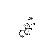 O=c1ncccn1[C@@H]1OC(CO)[C@H](O)C1(F)F